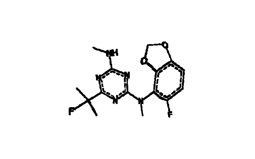 CNc1nc(N(C)c2c(F)ccc3c2OCO3)nc(C(C)(C)F)n1